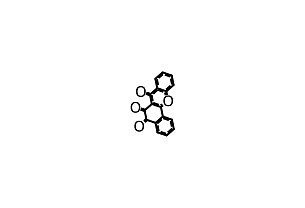 O=C1C(=O)c2c(oc3ccccc3c2=O)-c2ccccc21